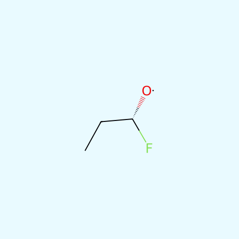 CC[C@H]([O])F